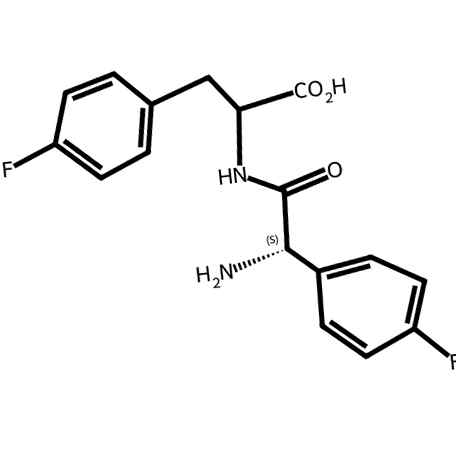 N[C@H](C(=O)NC(Cc1ccc(F)cc1)C(=O)O)c1ccc(F)cc1